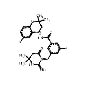 CC1(C)CC(=O)N(Cc2cc(F)cc(C(=O)N[C@H]3CC(C)(C)Oc4ccc(F)cc43)c2)C(=N)N1